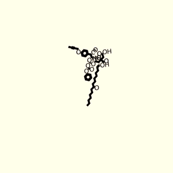 CC#CCOc1ccc(C(=C=O)[C@@H](NC(=O)[C@@H](C=CCCCCCCC(=O)CCCCCCC)[C@@](O)(CC(=O)O)C(=O)O)OCOC(=O)Oc2ccccc2)cc1